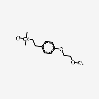 CCOCCOc1ccc(C[CH2][Ge]([CH3])([CH3])[Cl])cc1